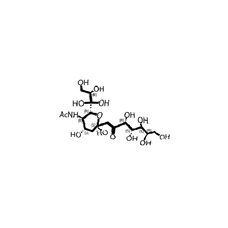 CC(=O)N[C@H]1[C@H](C(O)(O)[C@H](O)CO)O[C@](O)(CC(=O)[C@H](O)[C@@H](O)[C@@H](O)[C@H](O)CO)C[C@@H]1O